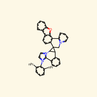 CCCc1cccc(CCC)c1-n1cc[n+]2c1-c1ccccc1C1C2C12C[n+]1ccccc1-c1c2ccc2c1oc1ccccc12